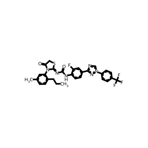 CCCc1ccc(C)cc1N1C(=O)CS/C1=N\C(=O)Nc1ccc(-c2ncn(-c3ccc(C(F)(F)F)cc3)n2)cc1F